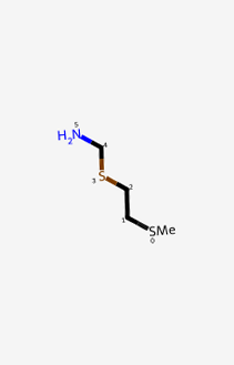 CSCCSCN